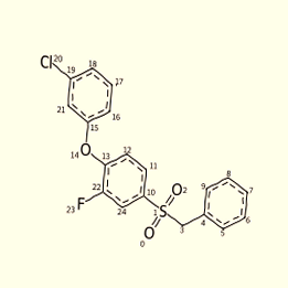 O=S(=O)(Cc1ccccc1)c1ccc(Oc2c[c]cc(Cl)c2)c(F)c1